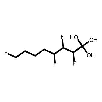 OC(O)(O)C(F)C(F)C(F)CCCCF